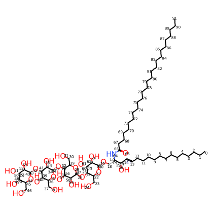 CCCCCCCCCCCCC/C=C/[C@@H](O)[C@H](CO[C@@H]1OC(CO)[C@@H](O[C@@H]2OC(CO)[C@H](O[C@@H]3OC(CO)[C@H](O)[C@H](O[C@@H]4OC(CO)[C@H](O)[C@H](O)C4O)C3O)[C@H](O)C2O)[C@H](O)C1O)NC(=O)CCCCCCCCCCCCCCCCCCCCCCCCC